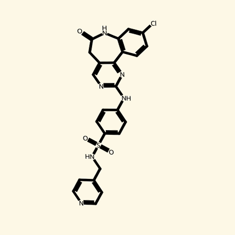 O=C1Cc2cnc(Nc3ccc(S(=O)(=O)NCc4ccncc4)cc3)nc2-c2ccc(Cl)cc2N1